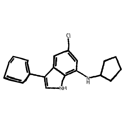 Clc1cc(NC2CCCC2)c2[nH]cc(-c3ccccc3)c2c1